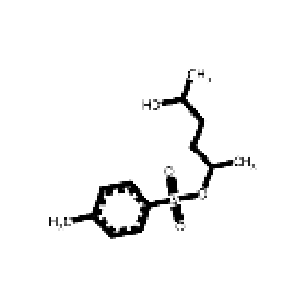 Cc1ccc(S(=O)(=O)OC(C)CCC(C)O)cc1